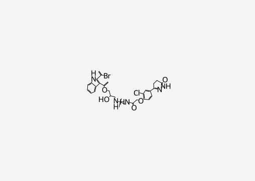 C=C(Br)c1[nH]c2ccccc2c1C(=C)OCC(O)CNC(C)(C)CNC(=O)COc1ccc(C2=NNC(=O)CC2)cc1Cl